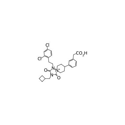 O=C(O)Cc1cccc(C2CC[N+]3(CC2)C(=O)N(CC2CCC2)C(=O)N3CCc2ccc(Cl)cc2Cl)c1